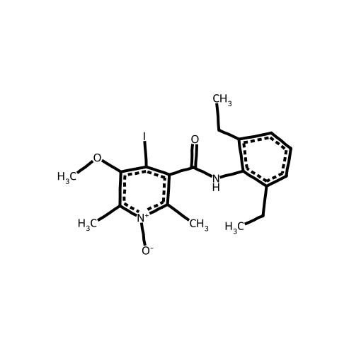 CCc1cccc(CC)c1NC(=O)c1c(I)c(OC)c(C)[n+]([O-])c1C